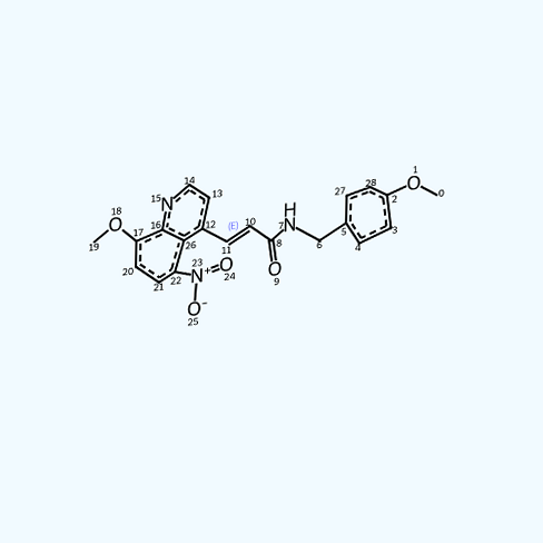 COc1ccc(CNC(=O)/C=C/c2ccnc3c(OC)ccc([N+](=O)[O-])c23)cc1